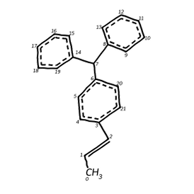 C/C=C/c1ccc(C(c2ccccc2)c2ccccc2)cc1